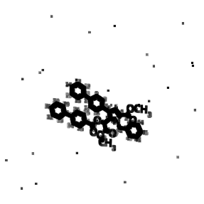 COC(=O)c1cc(-c2ccc(-c3ccccc3)cc2)c(C(OC(=O)c2ccc(-c3ccccc3)cc2)C(=O)OC)n1Cc1ccccc1